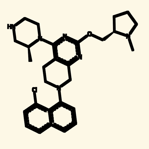 C[C@H]1CNCCN1c1nc(OC[C@@H]2CCCN2C)nc2c1CCN(c1cccc3cccc(Cl)c13)C2